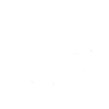 CC(=O)C(OC(C)(C)C)c1c(C)nc2c(c(C)c(C)n2C)c1-c1ccc(Cl)cc1